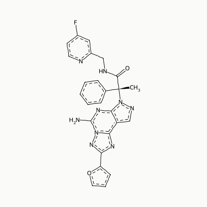 C[C@](C(=O)NCc1cc(F)ccn1)(c1ccccc1)n1ncc2c1nc(N)n1nc(-c3ccco3)nc21